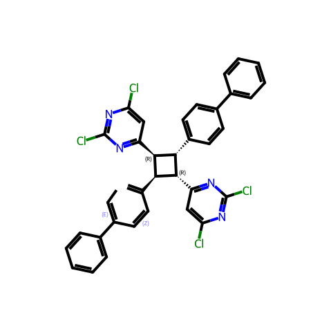 C=C(/C=C\C(=C/C)c1ccccc1)[C@H]1[C@@H](c2cc(Cl)nc(Cl)n2)[C@H](c2ccc(-c3ccccc3)cc2)[C@@H]1c1cc(Cl)nc(Cl)n1